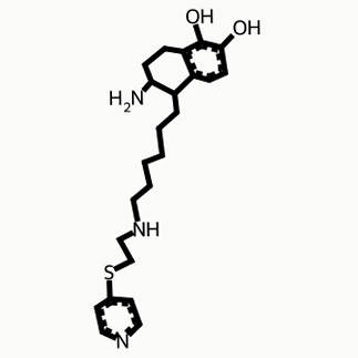 NC1CCc2c(ccc(O)c2O)C1CCCCCCNCCSc1ccncc1